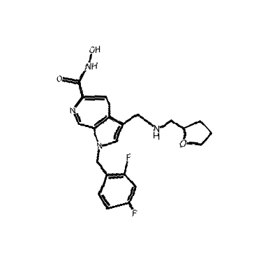 O=C(NO)c1cc2c(CNCC3CCCO3)cn(Cc3ccc(F)cc3F)c2cn1